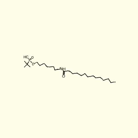 CCCCCCCCCCCCCC(=O)NCCCCCCOP(=O)(O)C(C)(C)C